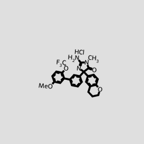 COc1ccc(OC(F)(F)F)c(-c2cccc(C3(c4ccc5c(c4)CCCO5)N=C(N)N(C)C3=O)c2)c1.Cl